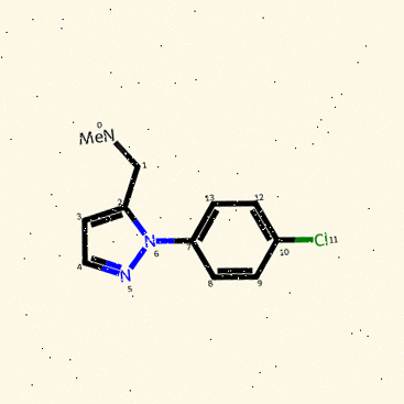 CNCc1ccnn1-c1ccc(Cl)cc1